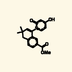 COC(=O)c1ccc2c(c1)C(n1ccc(O)cc1=O)=CC(C)(C)C2